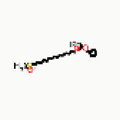 CC(C)CC(COCCCCCCCCCCCCCCCC[S+](C)[O-])OCc1ccccc1